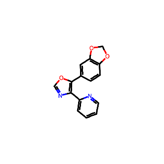 c1ccc(-c2ncoc2-c2ccc3c(c2)OCO3)nc1